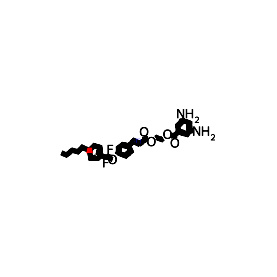 CCCCCC12CCC(C(F)(F)Oc3ccc(/C=C/C(=O)OCCOC(=O)c4cc(N)cc(N)c4)cc3)(CC1)CC2